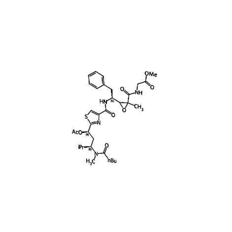 CCCCC(=O)N(C)[C@H](C[C@@H](OC(C)=O)c1nc(C(=O)N[C@@H](Cc2ccccc2)C2OC2(C)C(=O)NCC(=O)OC)cs1)C(C)C